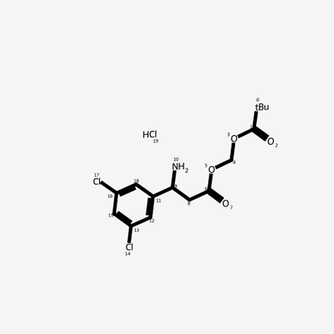 CC(C)(C)C(=O)OCOC(=O)CC(N)c1cc(Cl)cc(Cl)c1.Cl